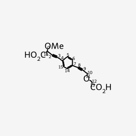 COC(C#Cc1ccc(C#CCOCC(=O)O)cc1)C(=O)O